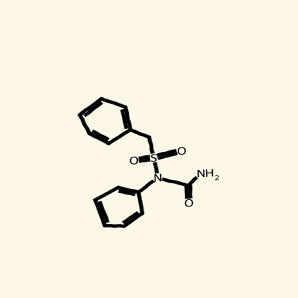 NC(=O)N(c1ccccc1)S(=O)(=O)Cc1ccccc1